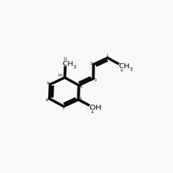 C/C=C\C=C1\C(O)=CC=CC1C